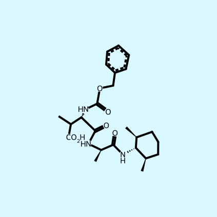 CC(C(=O)O)[C@H](NC(=O)OCc1ccccc1)C(=O)N[C@H](C)C(=O)N[C@H]1[C@H](C)CCC[C@@H]1C